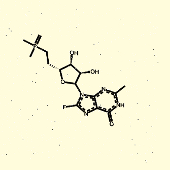 C=P(C)(C)CC[C@H]1OC(n2c(F)nc3c(=O)[nH]c(C)nc32)[C@H](O)[C@@H]1O